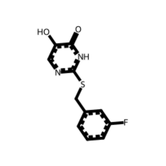 O=c1[nH]c(SCc2cccc(F)c2)ncc1O